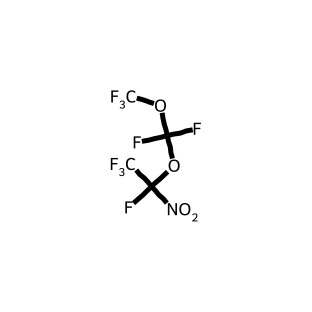 O=[N+]([O-])C(F)(OC(F)(F)OC(F)(F)F)C(F)(F)F